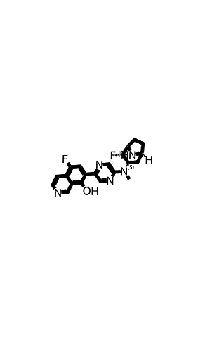 CN(c1cnc(-c2cc(F)c3ccncc3c2O)cn1)[C@H]1C[C@@H]2CCC(N2)[C@H]1F